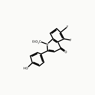 CCOC(=O)n1c(-c2ccc(O)cc2)cc(=O)c2c(F)c(F)ccc21